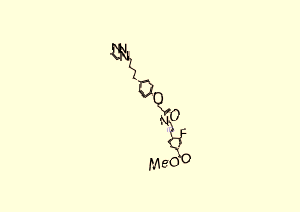 COC(=O)c1ccc(/C=C/c2nc(COc3ccc(CCCCn4ccnn4)cc3)co2)c(F)c1